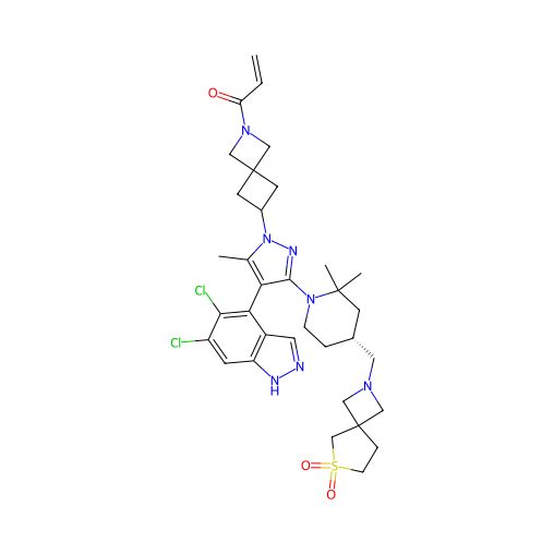 C=CC(=O)N1CC2(CC(n3nc(N4CC[C@@H](CN5CC6(CCS(=O)(=O)C6)C5)CC4(C)C)c(-c4c(Cl)c(Cl)cc5[nH]ncc45)c3C)C2)C1